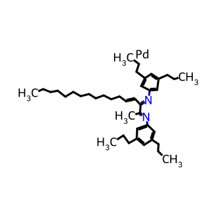 CCCCCCCCCCCC/C=C/C(=N\c1cc(CCC)cc(CCC)c1)C(/C)=N/c1cc(CCC)cc(CCC)c1.[Pd]